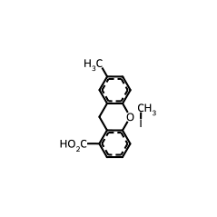 CI.Cc1ccc2c(c1)Cc1c(cccc1C(=O)O)O2